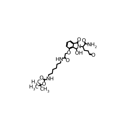 CC(C)(C)OC(=O)NCCCCCCNC(=O)COc1cccc2c1C(O)N(C(CCC=O)C(N)=O)C2=O